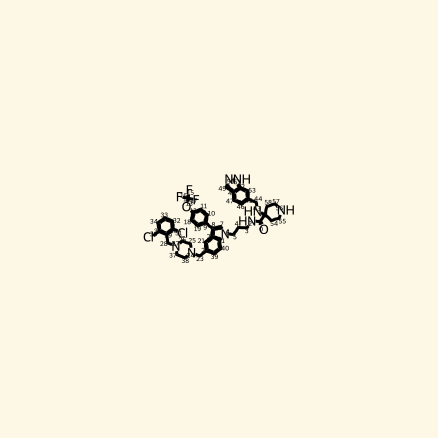 O=C(NCCCn1cc(-c2ccc(OC(F)(F)F)cc2)c2cc(CN3CCN(Cc4c(Cl)cccc4Cl)CC3)ccc21)C1(NCc2ccc3cn[nH]c3c2)CCNCC1